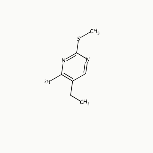 [2H]c1nc(SC)ncc1CC